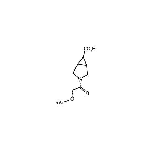 CC(C)(C)OCC(=O)N1CC2C(C1)C2C(=O)O